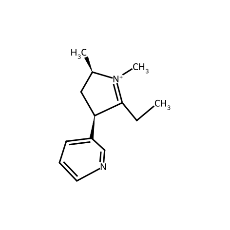 CCC1=[N+](C)[C@H](C)C[C@@H]1c1cccnc1